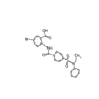 CCN(c1ccccc1)S(=O)(=O)c1ccc(C(=O)Nc2ccc(Br)cc2C(=O)O)cc1